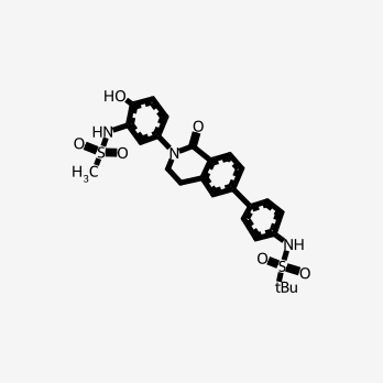 CC(C)(C)S(=O)(=O)Nc1ccc(-c2ccc3c(c2)CCN(c2ccc(O)c(NS(C)(=O)=O)c2)C3=O)cc1